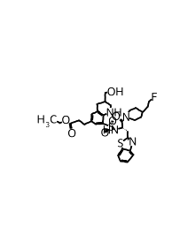 CCOC(=O)CCc1cc2c(c(S(=O)(=O)N[C@@H](Cc3nc4ccccc4s3)C(=O)N3CCC(CCF)CC3)c1)NCC(CO)C2